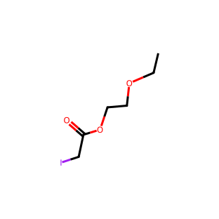 CCOCCOC(=O)CI